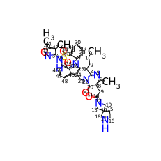 CCCCc1nc(C)c(CC(=O)N2CC3(CCNC3)C2)c(=O)n1Cc1cn(-c2ccccc2S(=O)(=O)Nc2noc(C)c2C)c2ccccc12